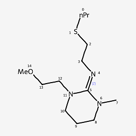 CCCSCC/N=C1/N(C)CCCN1CCOC